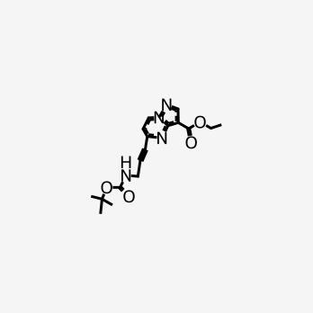 CCOC(=O)c1cnn2ccc(C#CCNC(=O)OC(C)(C)C)nc12